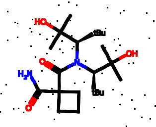 CC(C)(C)[C@@H](N(C(=O)C1(C(N)=O)CCC1)[C@H](C(C)(C)C)C(C)(C)O)C(C)(C)O